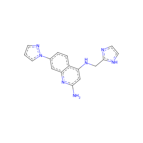 Nc1cc(NCc2ncc[nH]2)c2ccc(-n3cccn3)cc2n1